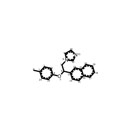 Cc1ccc(OC(Cn2ccnc2)c2ccc3ccccc3c2)cc1